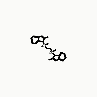 CC1=Cc2ccccc2[CH]1[Zr]([CH3])([CH3])[CH2][CH2][Zr]([CH3])([CH3])[CH]1C(C)=Cc2ccccc21